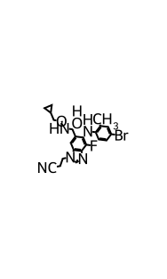 Cc1cc(Br)ccc1Nc1c(C(O)NOCC2CC2)cc2c(ncn2CCC#N)c1F